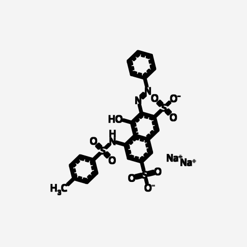 Cc1ccc(S(=O)(=O)Nc2cc(S(=O)(=O)[O-])cc3cc(S(=O)(=O)[O-])c(N=Nc4ccccc4)c(O)c23)cc1.[Na+].[Na+]